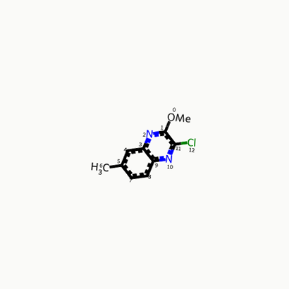 COc1nc2cc(C)ccc2nc1Cl